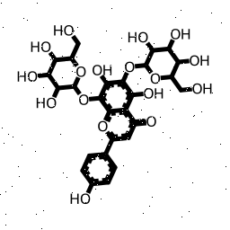 O=c1cc(-c2ccc(O)cc2)oc2c(OC3OC(CO)C(O)C(O)C3O)c(O)c(OC3OC(CO)C(O)C(O)C3O)c(O)c12